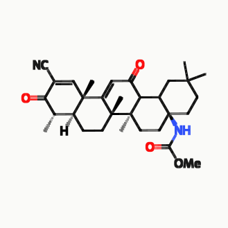 COC(=O)N[C@]12CCC(C)(C)CC1C1C(=O)C=C3[C@@]4(C)C=C(C#N)C(=O)[C@@H](C)[C@@H]4CC[C@@]3(C)[C@]1(C)CC2